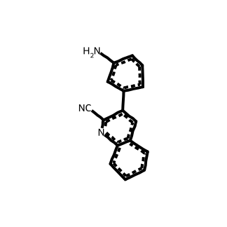 N#Cc1nc2ccccc2cc1-c1cccc(N)c1